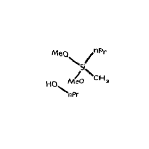 CCCO.CCC[Si](C)(OC)OC